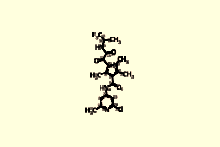 Cc1cc(NC(=O)c2c(C)c(C(=O)C(=O)NC(C)C(F)(F)F)n(C)c2C)cc(Cl)n1